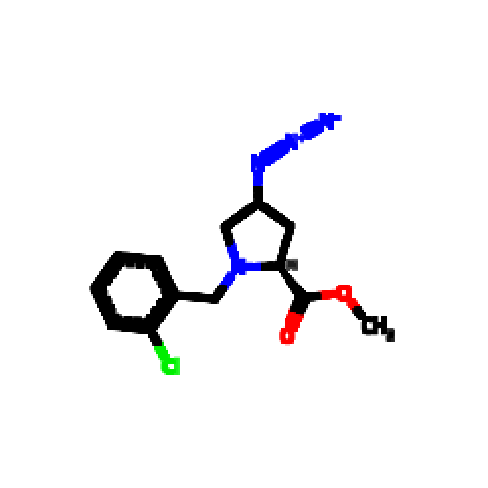 COC(=O)[C@@H]1CC(N=[N+]=[N-])CN1Cc1ccccc1Cl